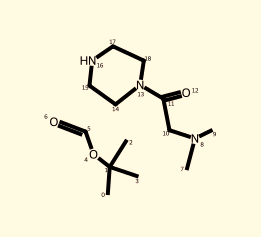 CC(C)(C)OC=O.CN(C)CC(=O)N1CCNCC1